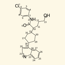 O=C(Nc1ccc(Cl)cc1)C(CCCO)C1CCC(c2ccnc3ccccc23)CC1